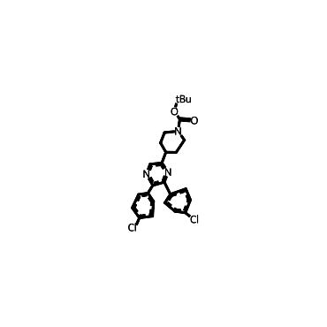 CC(C)(C)OC(=O)N1CCC(c2cnc(-c3ccc(Cl)cc3)c(-c3ccc(Cl)cc3)n2)CC1